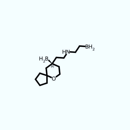 BCCNCC[C@]1(B)CCOC2(CCCC2)C1